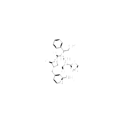 CCC(NC(=O)N1C(=O)[C@H](Cc2ccnc(N)c2)[C@H]1C(=O)N(C)c1nncs1)c1ccccc1